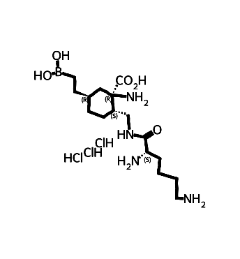 Cl.Cl.Cl.NCCCC[C@H](N)C(=O)NC[C@@H]1CC[C@@H](CCB(O)O)C[C@]1(N)C(=O)O